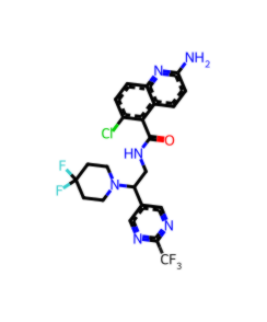 Nc1ccc2c(C(=O)NCC(c3cnc(C(F)(F)F)nc3)N3CCC(F)(F)CC3)c(Cl)ccc2n1